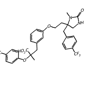 CN1C(=O)NCC1(CCOc1cccc(CC(C)(Oc2ccc(C(F)(F)F)cc2)C(=O)O)c1)Cc1ccc(C(F)(F)F)cc1